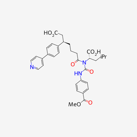 COC(=O)c1ccc(NC(=O)N(C(=O)CCC[C@H](CC(=O)O)c2ccc(-c3ccncc3)cc2)[C@@H](CC(C)C)C(=O)O)cc1